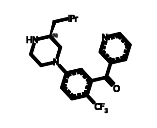 CC(C)C[C@H]1CN(c2ccc(C(F)(F)F)c(C(=O)c3cccnc3)c2)CCN1